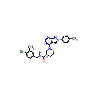 Cc1cc(CNC(=O)[C@@H]2CCCN(c3ncnc4nn(-c5ccc(C(F)(F)F)cc5)cc34)C2)ccc1Br